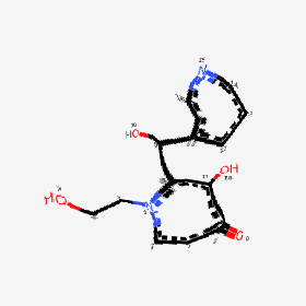 O=c1ccn(CCO)c(C(O)c2cccnc2)c1O